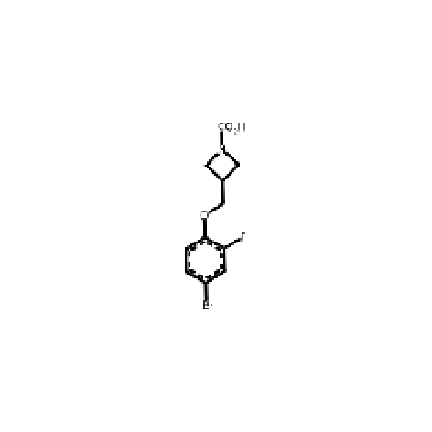 O=C(O)N1CC(COc2ccc(Br)cc2F)C1